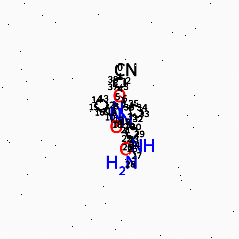 N#Cc1ccc(OCC2=NN(Cc3ccccc3)C(=O)N(c3ccc(NC(=O)CN)cc3)c3ccccc32)cc1